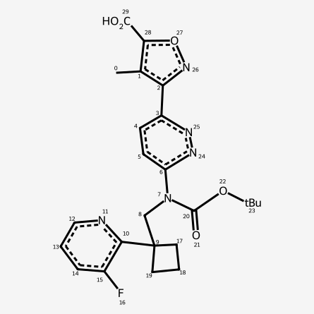 Cc1c(-c2ccc(N(CC3(c4ncccc4F)CCC3)C(=O)OC(C)(C)C)nn2)noc1C(=O)O